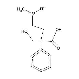 C[S+]([O-])CCC(CO)(C(=O)O)c1ccccc1